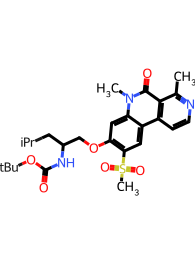 Cc1nccc2c1c(=O)n(C)c1cc(OCC(CC(C)C)NC(=O)OC(C)(C)C)c(S(C)(=O)=O)cc21